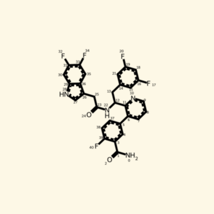 NC(=O)c1cc(-c2cccnc2C(Cc2cc(F)cc(F)c2)NC(=O)Cc2c[nH]c3cc(F)c(F)cc23)ccc1F